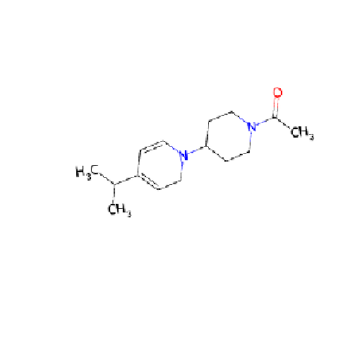 CC(=O)N1CCC(N2C=CC(C(C)C)=CC2)CC1